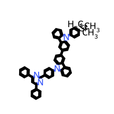 C[Si](C)(C)c1ccc(-n2c3ccccc3c3cc(-c4ccc5c(c4)c4ccccc4n5-c4ccc(-c5nc(-c6ccccc6)cc(-c6ccccc6)n5)cc4)ccc32)cc1